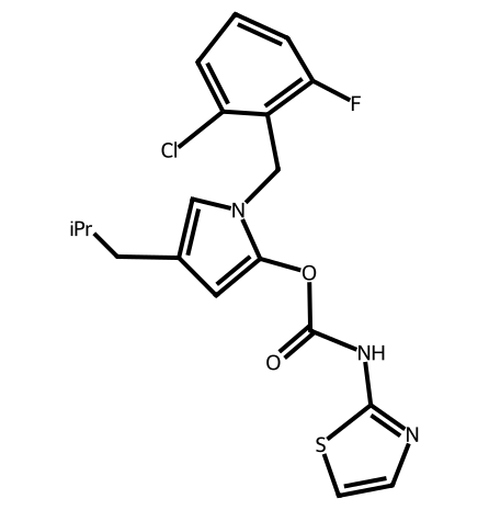 CC(C)Cc1cc(OC(=O)Nc2nccs2)n(Cc2c(F)cccc2Cl)c1